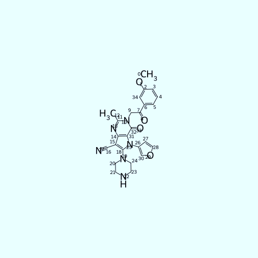 COc1cccc(C(=O)Cn2c(C)nc3c(C#N)c(N4CCNCC4)n(-c4ccoc4)c3c2=O)c1